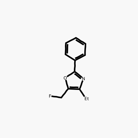 CCc1nc(-c2ccccc2)oc1CF